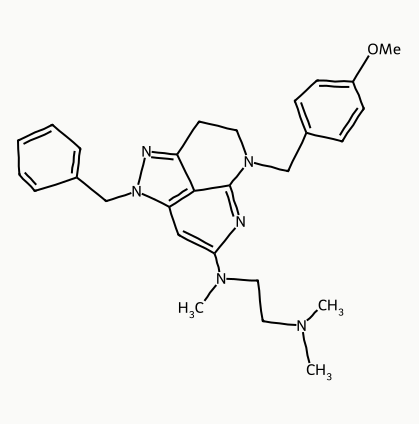 COc1ccc(CN2CCc3nn(Cc4ccccc4)c4cc(N(C)CCN(C)C)nc2c34)cc1